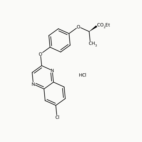 CCOC(=O)[C@@H](C)Oc1ccc(Oc2cnc3cc(Cl)ccc3n2)cc1.Cl